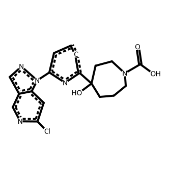 O=C(O)N1CCCC(O)(c2cccc(-n3ncc4cnc(Cl)cc43)n2)CC1